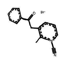 Cc1c(CC(=O)c2ccccc2)ccc[n+]1C#N.[Br-]